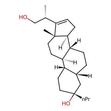 CCC[C@@]1(O)CC[C@H]2[C@H](CC[C@@H]3[C@@H]2CC[C@]2(C)C([C@@H](C)CO)=CC[C@@H]32)C1